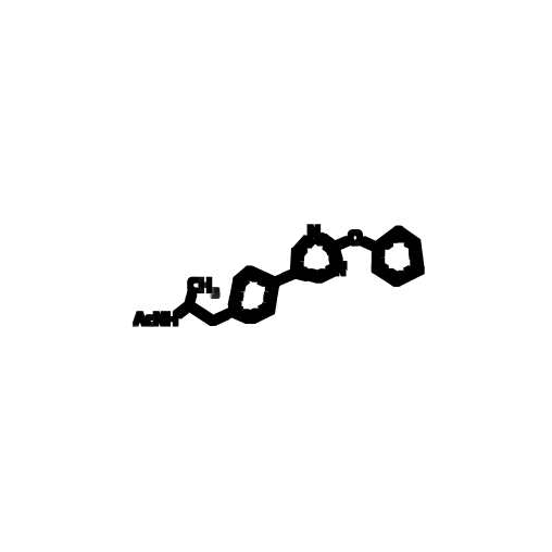 CC(=O)NC(C)Cc1ccc(-c2cnc(Oc3ccccc3)nc2)cc1